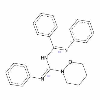 c1ccc(/N=C(/N/C(=N\c2ccccc2)N2CCCCO2)c2ccccc2)cc1